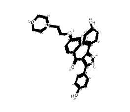 O=C(c1ccc(OCCN2CCOCC2)cc1)c1c(-c2ccc(O)cc2)noc1-c1ccc(O)cc1